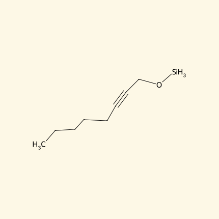 CCCCCC#CCO[SiH3]